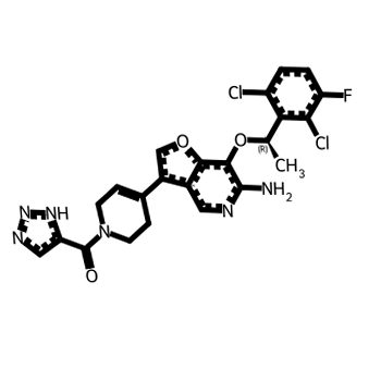 C[C@@H](Oc1c(N)ncc2c(C3=CCN(C(=O)c4cnn[nH]4)CC3)coc12)c1c(Cl)ccc(F)c1Cl